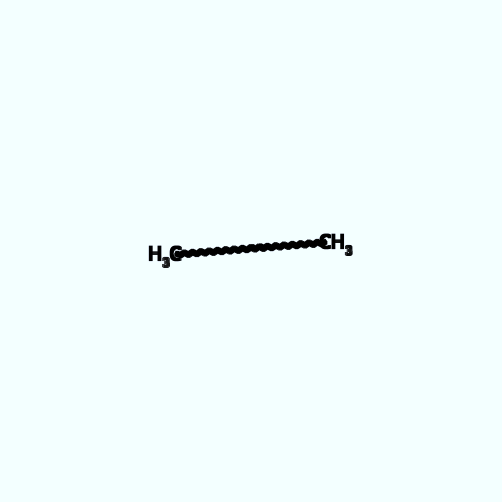 CCCCCCCCCCCCCCCC=CC=CCCCCCCCCCCCCCCCCCC